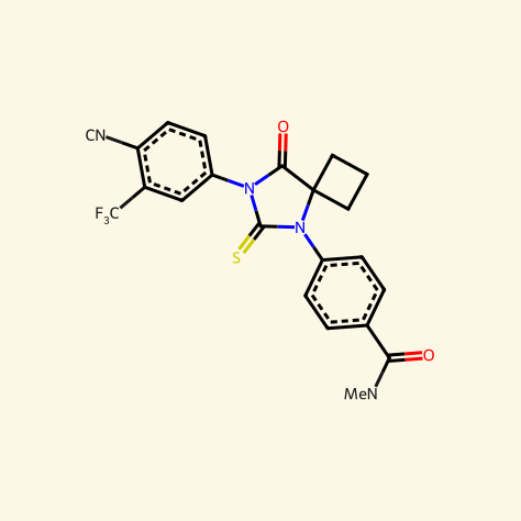 [C-]#[N+]c1ccc(N2C(=O)C3(CCC3)N(c3ccc(C(=O)NC)cc3)C2=S)cc1C(F)(F)F